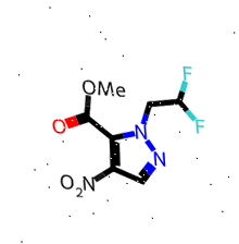 COC(=O)c1c([N+](=O)[O-])cnn1CC(F)F